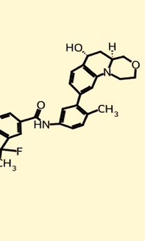 Cc1ccc(NC(=O)c2ccnc(C(C)(F)F)c2)cc1-c1ccc2c(c1)N1CCOC[C@@H]1C[C@H]2O